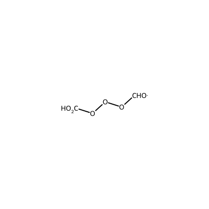 O=[C]OOOC(=O)O